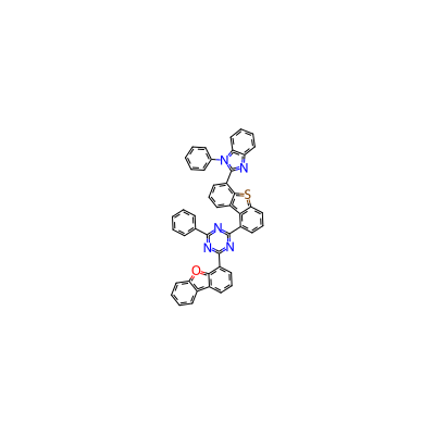 c1ccc(-c2nc(-c3cccc4c3oc3ccccc34)nc(-c3cccc4sc5c(-c6nc7ccccc7n6-c6ccccc6)cccc5c34)n2)cc1